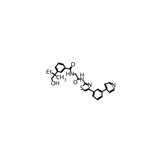 CCC(C)(CO)c1cccc(C(=O)NCC(=O)Nc2nc(-c3cccc(-c4ccncc4)c3)cs2)c1